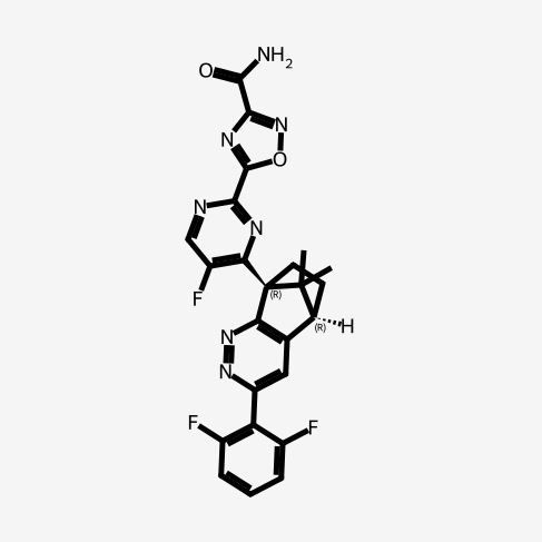 CC1(C)[C@H]2CC[C@@]1(c1nc(-c3nc(C(N)=O)no3)ncc1F)c1nnc(-c3c(F)cccc3F)cc12